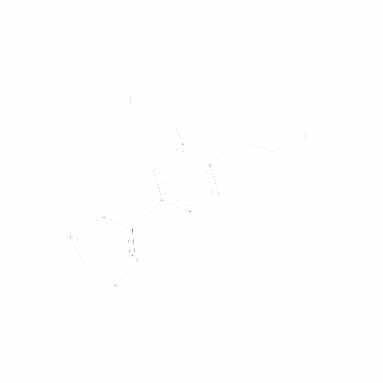 CCOc1ccc(-c2ccccn2)cc1OC